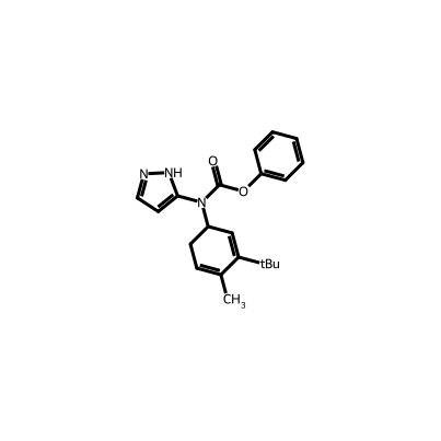 CC1=CCC(N(C(=O)Oc2ccccc2)c2ccn[nH]2)C=C1C(C)(C)C